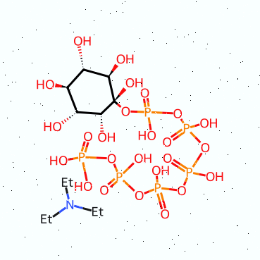 CCN(CC)CC.O=P(O)(O)OP(=O)(O)OP(=O)(O)OP(=O)(O)OP(=O)(O)OP(=O)(O)O[C@]1(O)[C@H](O)[C@H](O)[C@@H](O)[C@H](O)[C@H]1O